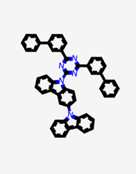 c1ccc(-c2cccc(-c3nc(-c4cccc(-c5ccccc5)c4)nc(-n4c5ccccc5c5cc(-n6c7ccccc7c7ccccc76)ccc54)n3)c2)cc1